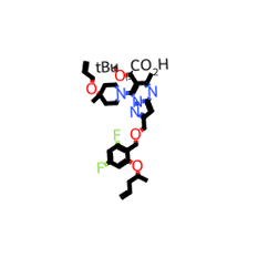 C=CCOC1(C)CCN(c2c([C@H](OC(C)(C)C)C(=O)O)c(C)nc3cc(COCc4c(F)cc(F)cc4OC(C)CC=C)nn23)CC1